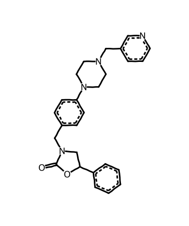 O=C1OC(c2ccccc2)CN1Cc1ccc(N2CCN(Cc3cccnc3)CC2)cc1